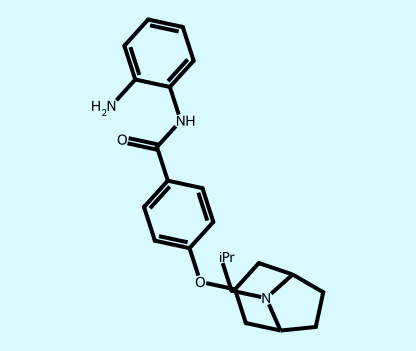 CC(C)CN1C2CCC1CC(Oc1ccc(C(=O)Nc3ccccc3N)cc1)C2